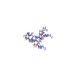 CC(Nc1ncc(C(N)=O)c(Nc2ccc3ncsc3c2)n1)C(N)=O